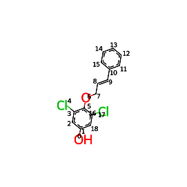 Oc1cc(Cl)c(OC/C=C/c2ccccc2)c(Cl)c1